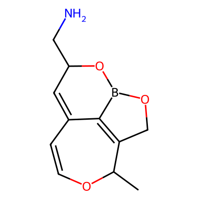 CC1OC=CC2=CC(CN)OB3OCC1=C32